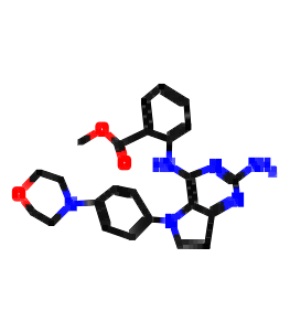 COC(=O)c1ccccc1Nc1nc(N)nc2ccn(-c3ccc(N4CCOCC4)cc3)c12